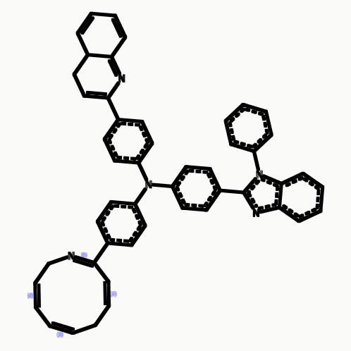 C1=CC2=NC(c3ccc(N(c4ccc(C5=N/C/C=C\C=C/C/C=C\5)cc4)c4ccc(-c5nc6ccccc6n5-c5ccccc5)cc4)cc3)=CCC2C=C1